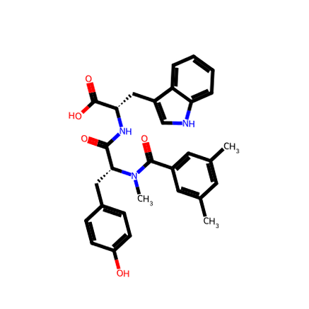 Cc1cc(C)cc(C(=O)N(C)[C@H](Cc2ccc(O)cc2)C(=O)N[C@@H](Cc2c[nH]c3ccccc23)C(=O)O)c1